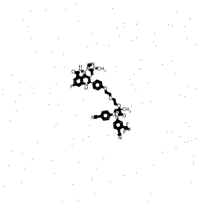 Cn1ncnc1C[C@H]1c2n[nH]c(=O)c3cc(F)cc(c23)N[C@@H]1c1ccc(OCCOCCO[C@@](C)(COc2ccc(C#N)cc2)C(=O)Nc2ccc(C#N)c(C(F)(F)F)c2)cc1